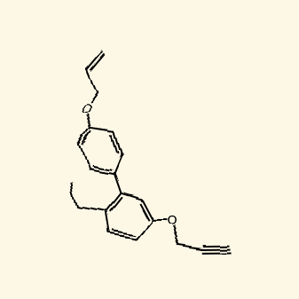 C#CCOc1ccc(CC)c(-c2ccc(OCC=C)cc2)c1